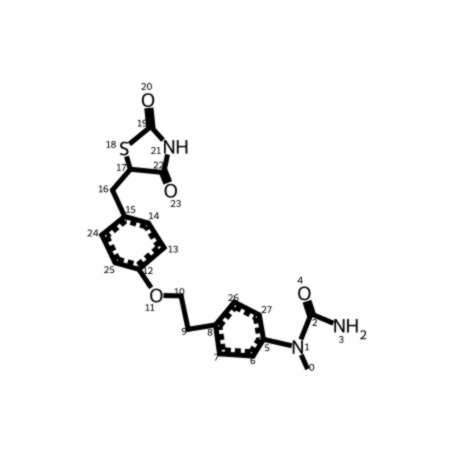 CN(C(N)=O)c1ccc(CCOc2ccc(CC3SC(=O)NC3=O)cc2)cc1